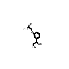 CCCC(O)COc1cccc(C(O)CC#N)c1